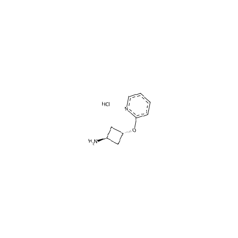 Cl.N[C@H]1C[C@H](Oc2ccccn2)C1